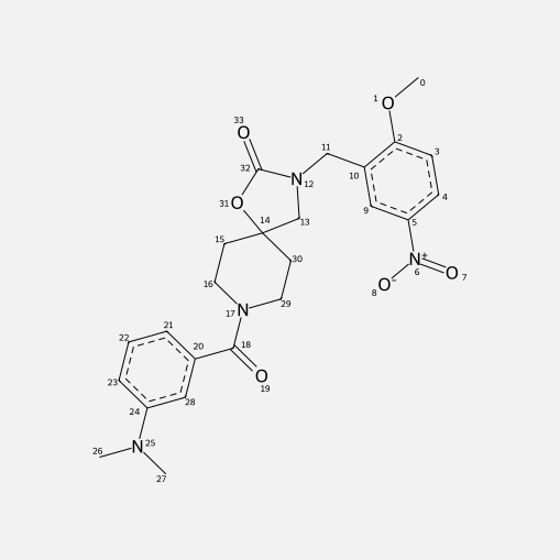 COc1ccc([N+](=O)[O-])cc1CN1CC2(CCN(C(=O)c3cccc(N(C)C)c3)CC2)OC1=O